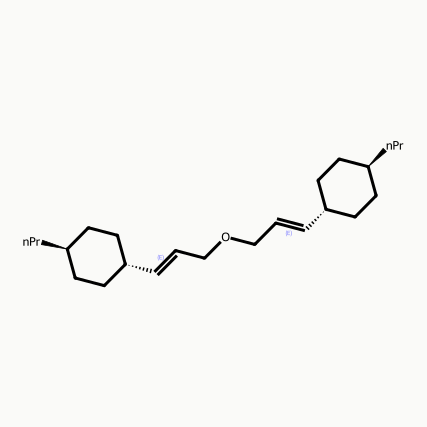 CCC[C@H]1CC[C@H](/C=C/COC/C=C/[C@H]2CC[C@H](CCC)CC2)CC1